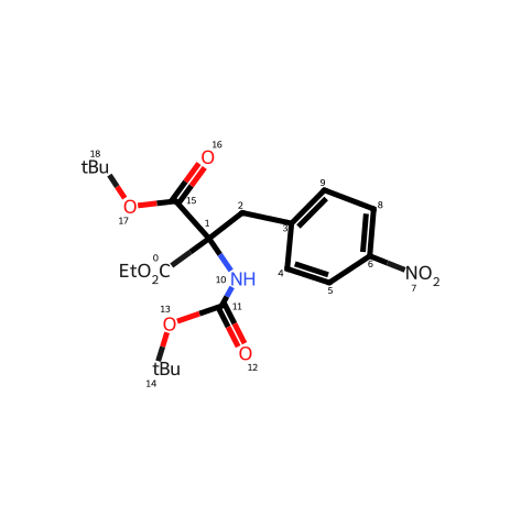 CCOC(=O)C(Cc1ccc([N+](=O)[O-])cc1)(NC(=O)OC(C)(C)C)C(=O)OC(C)(C)C